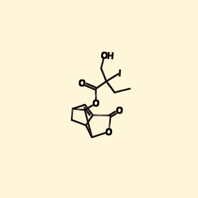 CCC(I)(CO)C(=O)OC1C2C=C3C(=O)OC1C3C2